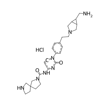 Cl.NCC1C2CN(CCc3ccc(-n4ccc(NC(=O)N5CCC6(CCNC6)C5)nc4=O)cc3)CC12